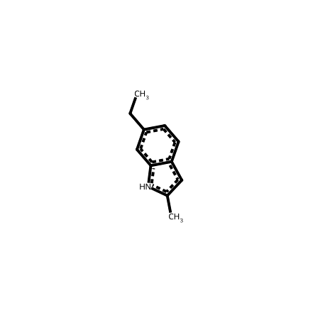 CCc1ccc2cc(C)[nH]c2c1